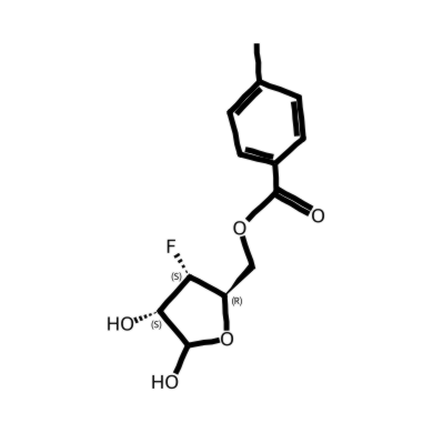 Cc1ccc(C(=O)OC[C@H]2OC(O)[C@H](O)[C@@H]2F)cc1